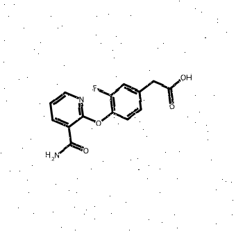 NC(=O)c1cccnc1Oc1ccc(CC(=O)O)cc1F